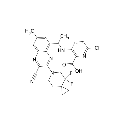 Cc1cc(C(C)Nc2ccc(Cl)nc2C(=O)O)c2nc(N3CCC4(CC4)C(F)(F)C3)c(C#N)nc2c1